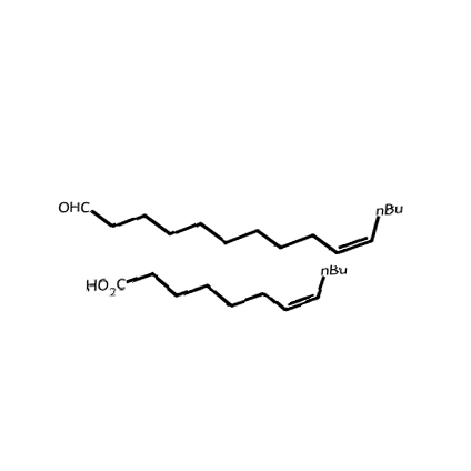 CCCC/C=C\CCCCCC(=O)O.CCCC/C=C\CCCCCCCCC=O